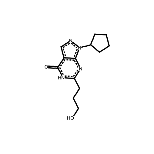 O=c1[nH]c(CCCO)nc2c1cnn2C1CCCC1